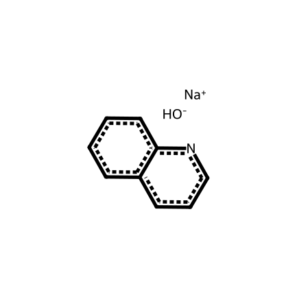 [Na+].[OH-].c1ccc2ncccc2c1